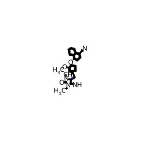 CCN1C(=N)/C(=C/c2ccc(Oc3ccc(C#N)c4ccccc34)c(OC)c2)N(C)C1=O